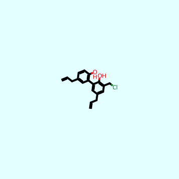 C=CCc1ccc(O)c(-c2cc(CC=C)cc(CCl)c2O)c1